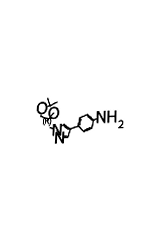 CC1(C)OC[C@@H](Cn2cc(-c3ccc(N)cc3)cn2)O1